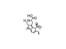 C=CC1=CC=C2C(=C(CC(N)C(=O)O)C(C)N2C)C1[N+](=O)[O-]